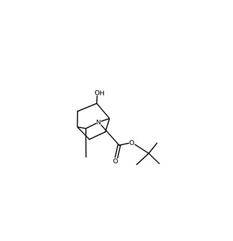 CC1C2CCC(C(O)C2)N1C(=O)OC(C)(C)C